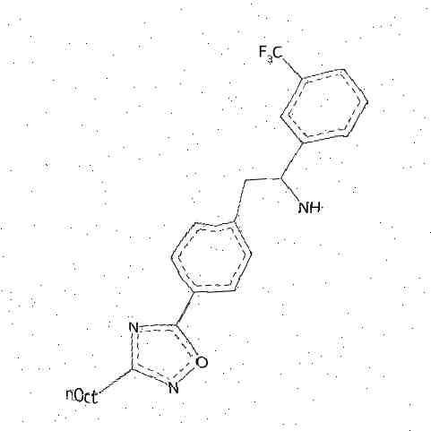 CCCCCCCCc1noc(-c2ccc(CC([NH])c3cccc(C(F)(F)F)c3)cc2)n1